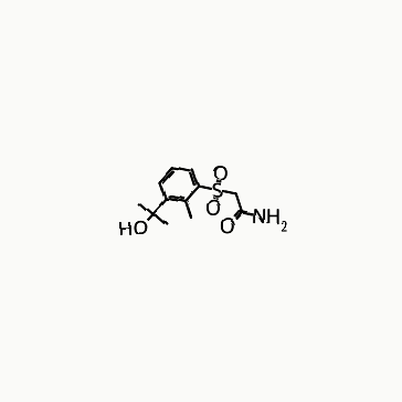 Cc1c(C(C)(C)O)cccc1S(=O)(=O)CC(N)=O